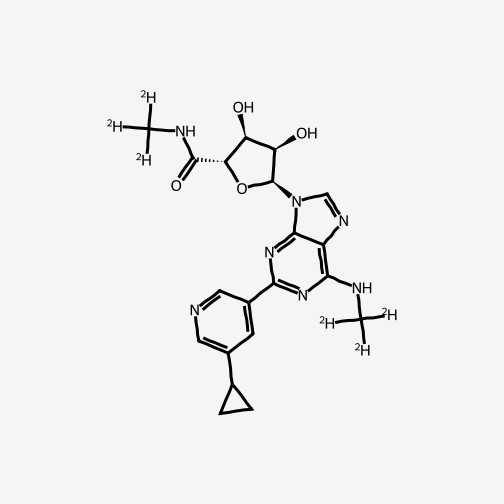 [2H]C([2H])([2H])NC(=O)[C@H]1O[C@H](n2cnc3c(NC([2H])([2H])[2H])nc(-c4cncc(C5CC5)c4)nc32)[C@H](O)[C@@H]1O